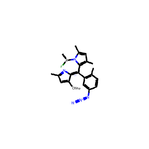 COC1=CC(C)=N/C1=C(/c1cc(N=[N+]=[N-])ccc1C)c1c(C)cc(C)n1B(C)F